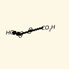 O=C(O)CCCCCCCCCCC(=O)OCCCCCCOC(=O)c1ccc(-c2ccc(O)cc2)cc1